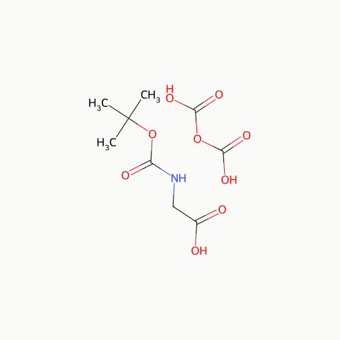 CC(C)(C)OC(=O)NCC(=O)O.O=C(O)OC(=O)O